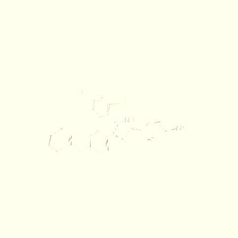 O=[N+]([O-])c1ccc(C2=NN(c3ccc(Cc4ccccc4)cc3)N(c3ccc(Cl)cc3Cl)N2)cc1